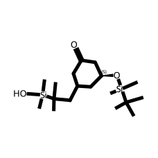 CC(C)(CC1CC(=O)C[C@@H](O[Si](C)(C)C(C)(C)C)C1)[Si](C)(C)O